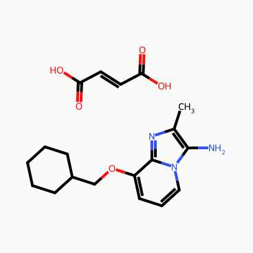 Cc1nc2c(OCC3CCCCC3)cccn2c1N.O=C(O)/C=C/C(=O)O